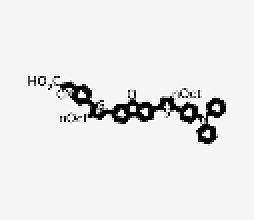 CCCCCCCCc1cc(-c2ccc3c(c2)C(=O)c2cc(-c4cc(CCCCCCCC)c(-c5ccc(N(c6ccccc6)c6ccccc6)cc5)s4)ccc2-3)sc1-c1ccc(/C=C(\C#N)C(=O)O)cc1